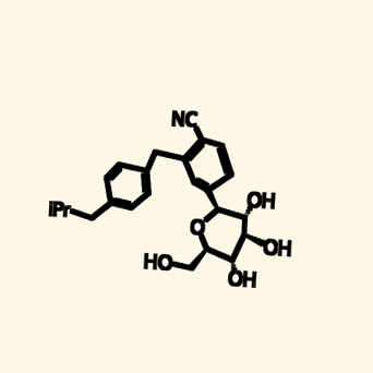 CC(C)Cc1ccc(Cc2cc([C@@H]3O[C@H](CO)[C@@H](O)[C@H](O)[C@H]3O)ccc2C#N)cc1